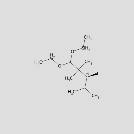 C[SiH2]OC(O[SiH2]C)C(C)(C)[C@@H](I)C(C)C